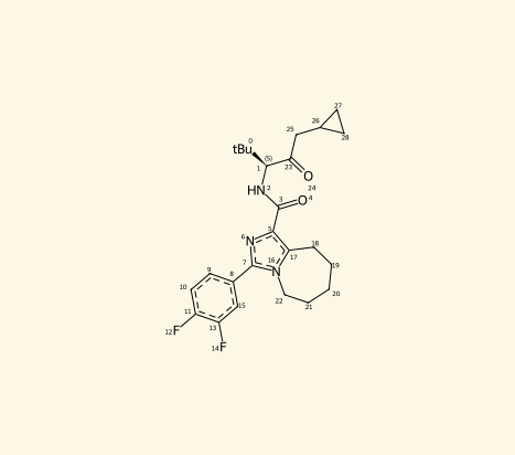 CC(C)(C)[C@H](NC(=O)c1nc(-c2ccc(F)c(F)c2)n2c1CCCCC2)C(=O)CC1CC1